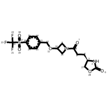 O=C1N[C@H](CCC(=O)N2CC(OCc3ccc(S(=O)(=O)C(F)(F)F)cc3)C2)CO1